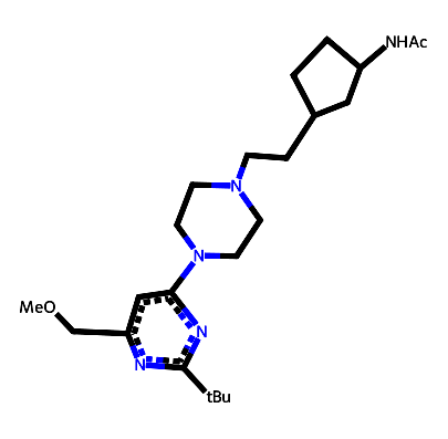 COCc1cc(N2CCN(CCC3CCC(NC(C)=O)C3)CC2)nc(C(C)(C)C)n1